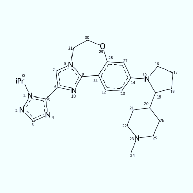 CC(C)n1ncnc1-c1cn2c(n1)-c1ccc(N3CCCC3C3CCN(C)CC3)cc1OCC2